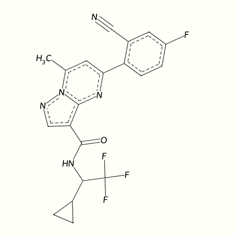 Cc1cc(-c2ccc(F)cc2C#N)nc2c(C(=O)NC(C3CC3)C(F)(F)F)cnn12